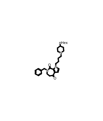 CCCCCCC1CCN(CCCCn2ccc3c2C(=O)N(Cc2ccccc2)CCC3=O)CC1